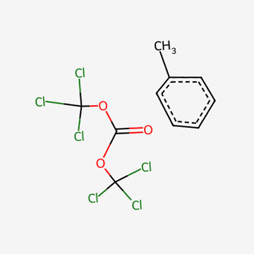 Cc1ccccc1.O=C(OC(Cl)(Cl)Cl)OC(Cl)(Cl)Cl